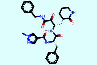 Cn1cc(C(=O)N[C@@H](Cc2ccccc2)C(=O)N[C@@H](C[C@@H]2CCCNC2=O)C(=O)C(=O)NCc2ccccc2)cn1